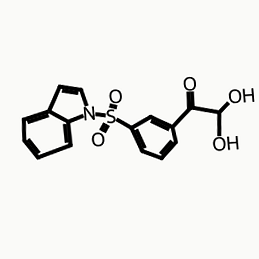 O=C(c1cccc(S(=O)(=O)n2ccc3ccccc32)c1)C(O)O